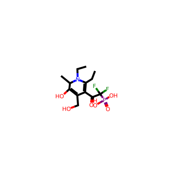 CCC1=C(C(=O)C(F)(F)P(=O)(O)O)C(CO)=C(O)C(C)N1CC